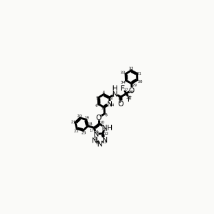 O=C(Nc1cccc(COc2[nH]c3nnnn3c2-c2ccccc2)n1)C(F)(F)Oc1ccccc1